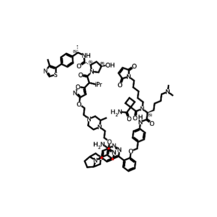 Cc1ncsc1-c1ccc([C@H](C)NC(=O)[C@@H]2C[C@@H](O)CN2C(=O)C(c2cc(OCCN3CCN(CCOc4cc(N5C6CCC5CN(c5cc(-c7ccccc7OCc7ccc(NC(=O)[C@H](CCCCN(C)C)N(CCCCCN8C(=O)C=CC8=O)C(=O)C8(C(N)=O)CCC8)cc7)nnc5N)C6)ccn4)C(C)C3)no2)C(C)C)cc1